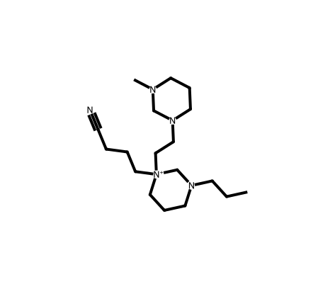 CCCN1CCC[N+](CCCC#N)(CCN2CCCN(C)C2)C1